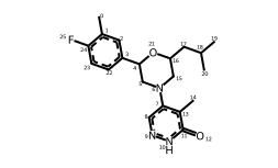 Cc1cc(C2CN(c3cn[nH]c(=O)c3C)CC(CC(C)C)O2)ccc1F